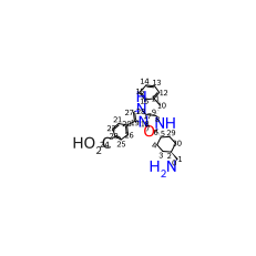 NC[C@H]1CC[C@H](C(=O)N[C@@H](Cc2ccccc2)c2nc(-c3ccc(C(=O)O)cc3)c[nH]2)CC1